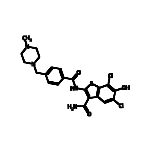 CN1CCN(Cc2ccc(C(=O)Nc3sc4c(Cl)c(O)c(Cl)cc4c3C(N)=O)cc2)CC1